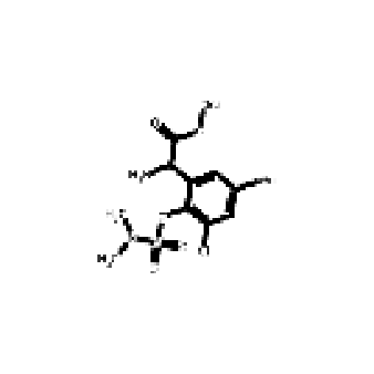 CCC(C)c1cc(Cl)c(OS(=O)(=O)N(C)C)c(C(N)C(=O)OC(C)(C)C)c1